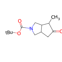 CC1C(=O)CC2CN(C(=O)OC(C)(C)C)CC21